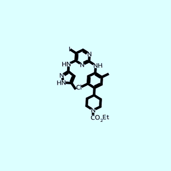 CCOC(=O)N1CCC(c2cc(C)c(Nc3ncc(I)c(Nc4cc(C)[nH]n4)n3)cc2Cl)CC1